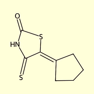 O=C1NC(=S)C(=C2CCCC2)S1